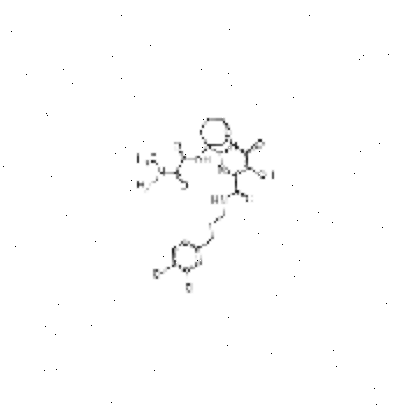 CN(C)C(=O)C(=O)NC12CCC(CC1)Cn1c2nc(C(=O)NCCCc2ccc(Cl)c(Cl)c2)c(O)c1=O